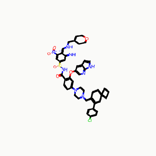 N=C1C=C([S+]([O-])NC(=O)c2ccc(N3CCN(CC4=C(c5ccc(Cl)cc5)CC5(CCC5)CC4)CC3)cc2Oc2cnc3[nH]ccc3c2)C=C([N+](=O)[O-])/C1=C/NCC1CCOCC1